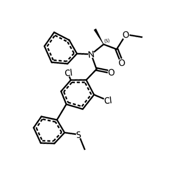 COC(=O)[C@H](C)N(C(=O)c1c(Cl)cc(-c2ccccc2SC)cc1Cl)c1ccccc1